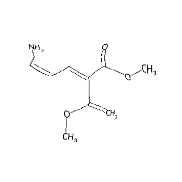 C=C(OC)/C(=C\C=C/N)C(=O)OC